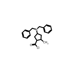 CC1CC(N(Cc2ccccc2)Cc2ccccc2)CC1C(=O)Cl